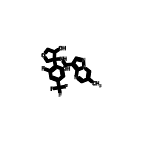 Cc1cnc2c(C(O)NC3(c4ccc(C(F)(F)F)cc4F)COCC3O)cnn2c1